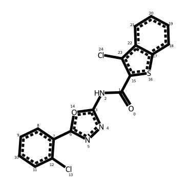 O=C(Nc1nnc(-c2ccccc2Cl)o1)c1sc2ccccc2c1Cl